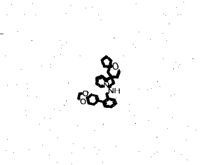 C1=C(c2ccccc2CNCCC2(c3ccccn3)CCOC3(CCCC3)C2)CCC2(C1)OCCO2